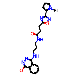 CCn1cccc1-c1noc(CCC(=O)NCCCNc2n[nH]c(=O)c3ccccc23)n1